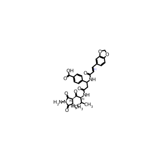 CC(C)[C@H](NC(=O)CC(NC(=O)/C=C/c1ccc2c(c1)OCO2)c1ccc(C(=O)O)cc1)C(=O)[C@@H]1C(=O)N(N)C(=O)[C@H]1C